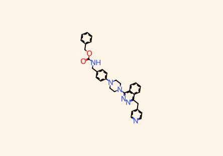 O=C(NCc1ccc(N2CCN(c3nnc(Cc4ccncc4)c4ccccc34)CC2)cc1)OCc1ccccc1